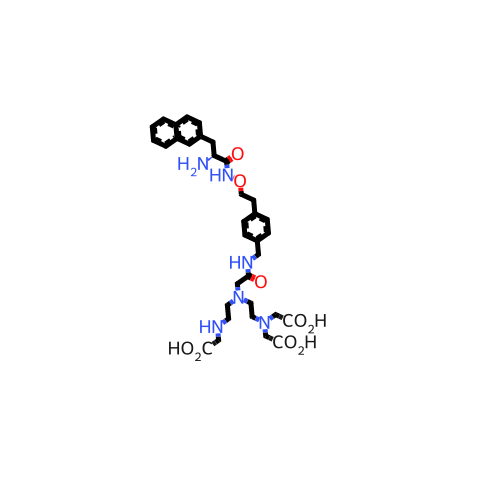 N[C@H](Cc1ccc2ccccc2c1)C(=O)NOCCc1ccc(CNC(=O)CN(CCNCC(=O)O)CCN(CC(=O)O)CC(=O)O)cc1